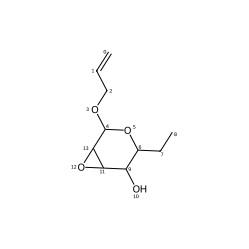 C=CCOC1OC(CC)C(O)C2OC12